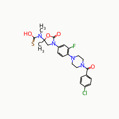 CN(C(O)=S)C1(C)CN(c2ccc(N3CCN(C(=O)c4ccc(Cl)cc4)CC3)c(F)c2)C(=O)O1